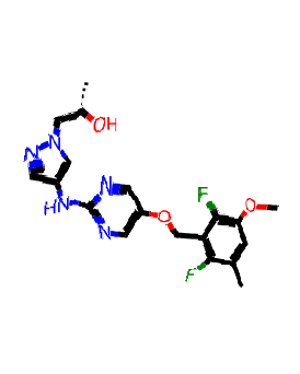 COc1cc(C)c(F)c(COc2cnc(Nc3cnn(C[C@H](C)O)c3)nc2)c1F